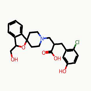 O=C(O)C(Cc1cc(O)ccc1Cl)CN1CCC2(CC1)OC(CO)c1ccccc12